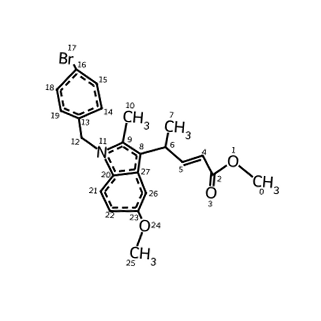 COC(=O)C=CC(C)c1c(C)n(Cc2ccc(Br)cc2)c2ccc(OC)cc12